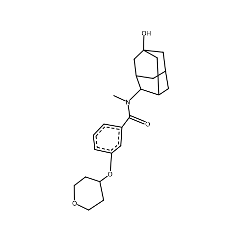 CN(C(=O)c1cccc(OC2CCOCC2)c1)C1C2CC3CC1CC(O)(C3)C2